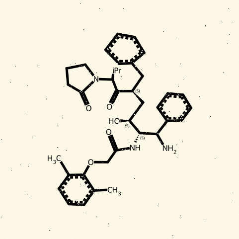 Cc1cccc(C)c1OCC(=O)N[C@@H](C(N)c1ccccc1)[C@@H](O)C[C@H](Cc1ccccc1)C(=O)C(C(C)C)N1CCCC1=O